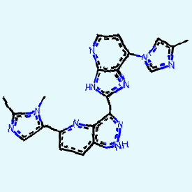 Cc1cn(-c2ccnc3[nH]c(-c4n[nH]c5ccc(-c6cnc(C)n6C)nc45)nc23)cn1